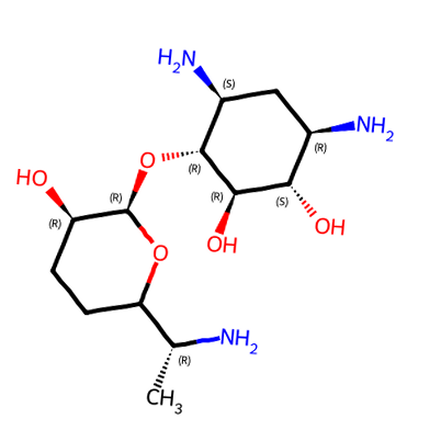 C[C@@H](N)C1CC[C@@H](O)[C@@H](O[C@H]2[C@H](O)[C@@H](O)[C@H](N)C[C@@H]2N)O1